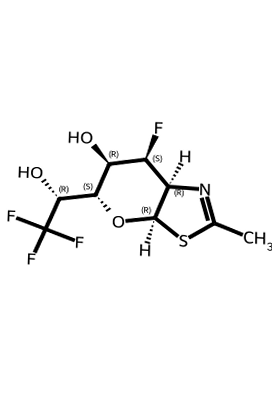 CC1=N[C@@H]2[C@H](F)[C@H](O)[C@@H]([C@@H](O)C(F)(F)F)O[C@@H]2S1